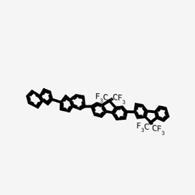 FC(F)(F)C1(C(F)(F)F)c2ccccc2-c2ccc(-c3ccc4c(c3)C(C(F)(F)F)(C(F)(F)F)c3cc(-c5ccc6cc(-c7ccc8ccccc8c7)ccc6c5)ccc3-4)cc21